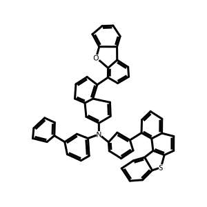 c1ccc(-c2cccc(N(c3cccc(-c4cccc5ccc6sc7ccccc7c6c45)c3)c3ccc4c(-c5cccc6c5oc5ccccc56)cccc4c3)c2)cc1